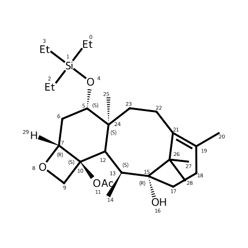 CC[Si](CC)(CC)O[C@H]1C[C@H]2OC[C@@]2(OC(C)=O)C2[C@H](C)[C@]3(O)CCC(C)=C(CC[C@@]21C)C3(C)C